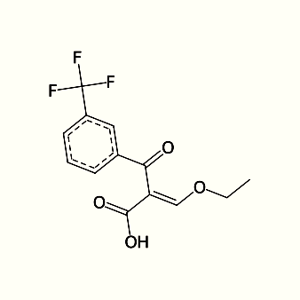 CCO/C=C(/C(=O)O)C(=O)c1cccc(C(F)(F)F)c1